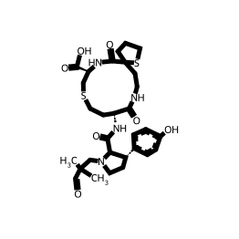 CC(C)(C=O)CN1CC[C@@H](c2ccc(O)cc2)C1C(=O)N[C@@H]1CCSC[C@@H](C(=O)O)NC(=O)C2(CCCS2)CCNC1=O